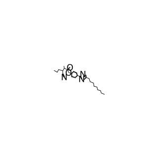 CCCCCCCCCc1cnc(-c2ccc(OC(=O)C(C)C(C#N)CCC)cc2)nc1